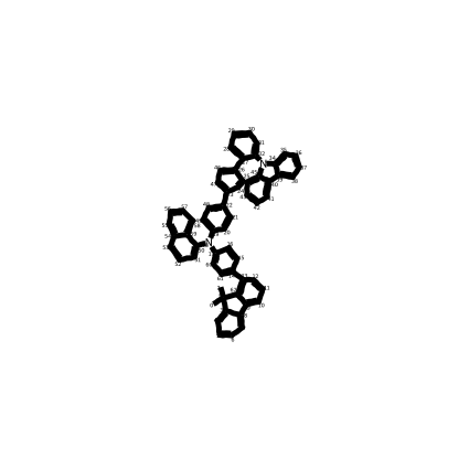 CC1(C)c2ccccc2-c2cccc(-c3ccc(N(c4ccc(-c5ccc(-c6ccccc6-n6c7ccccc7c7ccccc76)cc5)cc4)c4cccc5ccccc45)cc3)c21